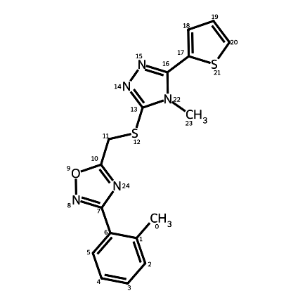 Cc1ccccc1-c1noc(CSc2nnc(-c3cccs3)n2C)n1